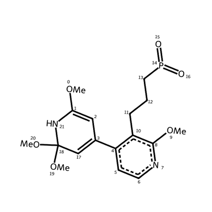 COC1=CC(c2ccnc(OC)c2CCCP(=O)=O)=CC(OC)(OC)N1